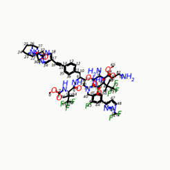 COC(=O)N[C@H](C(=O)N[C@@H](Cc1ccc(C#Cc2cnc(N3CC4CCC(C3)N4C3COC3)nc2)cc1)[C@H](CN(Cc1c(F)cc(-c2ccn(C(F)F)n2)cc1F)NC(=O)[C@@H](NC(=O)OC)C(C)(C)C(F)(F)F)OC(=O)[C@@H](N)CCCCN)C(C)(C)C(F)(F)F